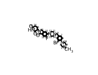 CN1CCN(c2ccc(CN3CCN(c4cc5c(cc4F)C(=O)N(C4CCC(=O)NC4=O)C5)CC3)cc2Br)CC1